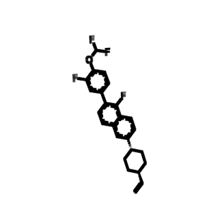 C=C[C@H]1CC[C@H](c2ccc3c(F)c(-c4ccc(OC(F)F)c(F)c4)ccc3c2)CC1